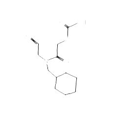 CC(=O)OCC(=O)N(CC=O)CC1CCCCC1